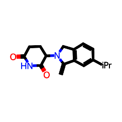 C=C1c2cc(C(C)C)ccc2CN1C1CCC(=O)NC1=O